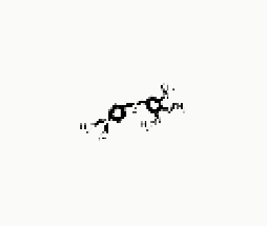 CCN(CC)c1ccc(CNCc2cc(OC)c(OC)c(OC)c2)cc1